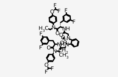 C=C(CN1c2ccccc2N(CC(=O)N[C@@H](Cc2cc(F)cc(F)c2)C(=O)N(CC)c2ccc(OC(F)F)cc2)S1(=O)=O)NC(Cc1cc(F)cc(F)c1)C(=O)N(CC)c1ccc(OC(F)F)cc1